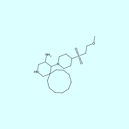 COCCS(=O)(=O)C1CCN(C2C(N)CNCC23CCCCCCCCC3)CC1